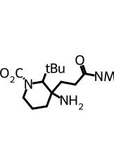 CNC(=O)CCC1(N)CCCN(C(=O)O)C1C(C)(C)C